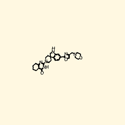 O=c1[nH]c(N2CCC3(CC2)CNc2cc(-c4nc(CN5CCOCC5)co4)ccc23)nc2c1CCCC2